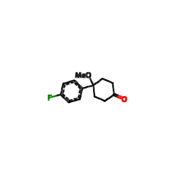 COC1(c2ccc(F)cc2)CCC(=O)CC1